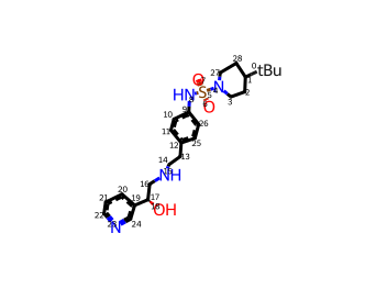 CC(C)(C)C1CCN(S(=O)(=O)Nc2ccc(CCNC[C@@H](O)c3cccnc3)cc2)CC1